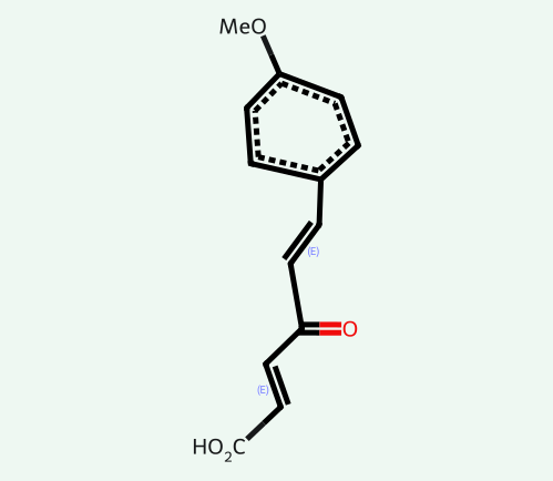 COc1ccc(/C=C/C(=O)/C=C/C(=O)O)cc1